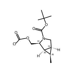 C[C@@H]1[C@@H]2CN(C(=O)OC(C)(C)C)[C@H](COC(=O)Cl)[C@H]12